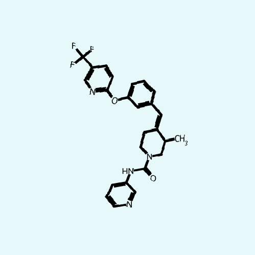 CC1CN(C(=O)Nc2cccnc2)CCC1=Cc1cccc(Oc2ccc(C(F)(F)F)cn2)c1